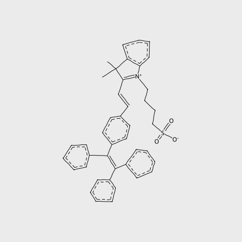 CC1(C)C(C=Cc2ccc(C(=C(c3ccccc3)c3ccccc3)c3ccccc3)cc2)=[N+](CCCCS(=O)(=O)[O-])c2ccccc21